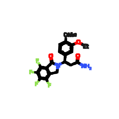 CCOc1cc(C(CC(N)=O)N2Cc3c(F)c(F)c(F)c(F)c3C2=O)ccc1OC